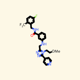 COCCn1c(CNc2cccc(C(=O)NCc3cc(F)ccc3C(F)(F)F)c2)nnc1-c1ccncc1